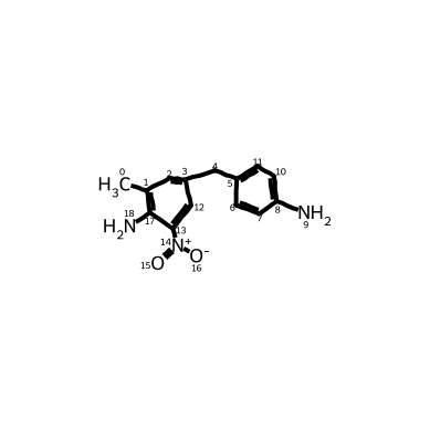 Cc1cc(Cc2ccc(N)cc2)cc([N+](=O)[O-])c1N